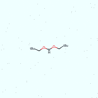 CC(C)(C)COBOCC(C)(C)C